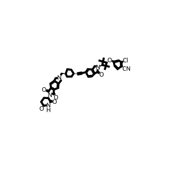 CC1(C)[C@H](Oc2ccc(C#N)c(Cl)c2)C(C)(C)[C@H]1N1Cc2cc(C#C[C@H]3CC[C@H](CN4Cc5cc6c(cc5C4)C(=O)N(C4CCC(=O)NC4=O)C6=O)CC3)ccc2C1=O